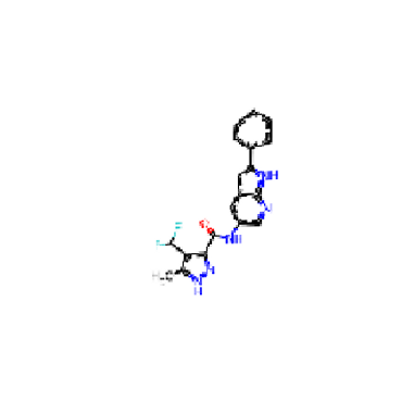 Cc1[nH]nc(C(=O)Nc2cnc3[nH]c(-c4ccccc4)cc3c2)c1C(F)F